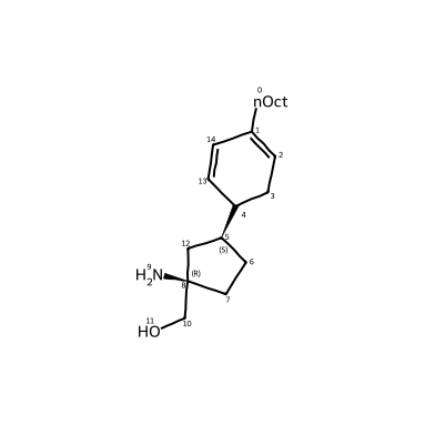 CCCCCCCCC1=CCC([C@H]2CC[C@](N)(CO)C2)C=C1